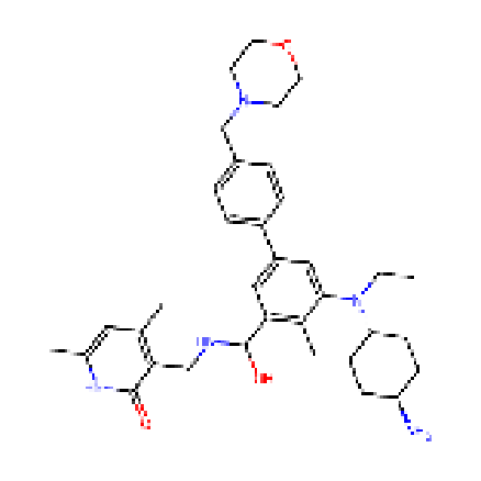 CCN(c1cc(-c2ccc(CN3CCOCC3)cc2)cc(C(O)NCc2c(C)cc(C)[nH]c2=O)c1C)[C@H]1CC[C@H](N)CC1